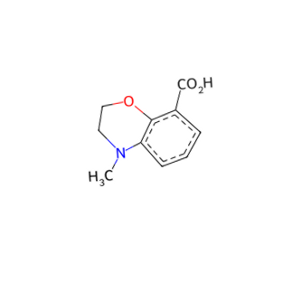 CN1CCOc2c(C(=O)O)cccc21